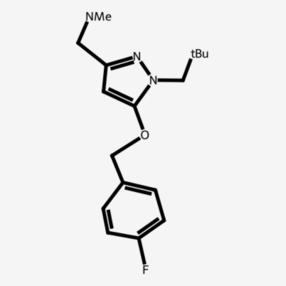 CNCc1cc(OCc2ccc(F)cc2)n(CC(C)(C)C)n1